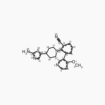 COc1ccncc1-c1cccc(C#N)c1N1CCC(c2cnc(N)s2)CC1